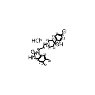 Cc1cc2[nH]c(=O)n(CCCN3CCC(O)(c4ccc(Cl)cc4)CC3)c2cc1C.Cl